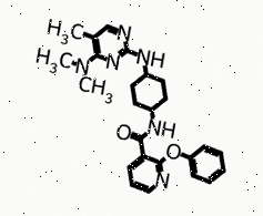 Cc1cnc(NC2CCC(NC(=O)c3cccnc3Oc3ccccc3)CC2)nc1N(C)C